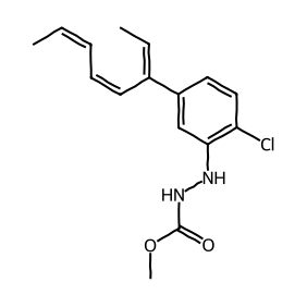 C\C=C/C=C\C(=C/C)c1ccc(Cl)c(NNC(=O)OC)c1